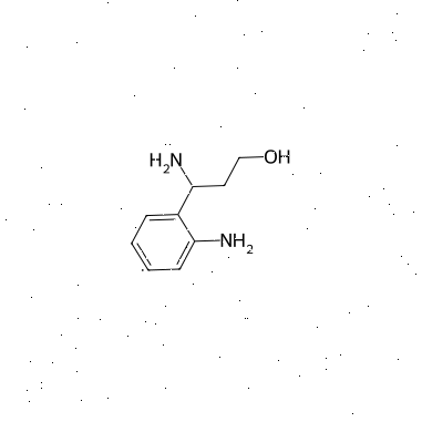 Nc1c[c]ccc1C(N)CCO